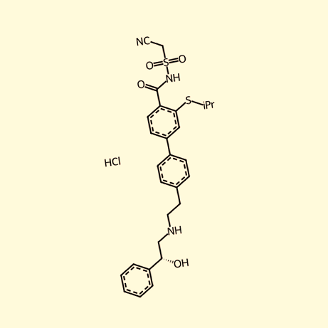 CC(C)Sc1cc(-c2ccc(CCNC[C@H](O)c3ccccc3)cc2)ccc1C(=O)NS(=O)(=O)CC#N.Cl